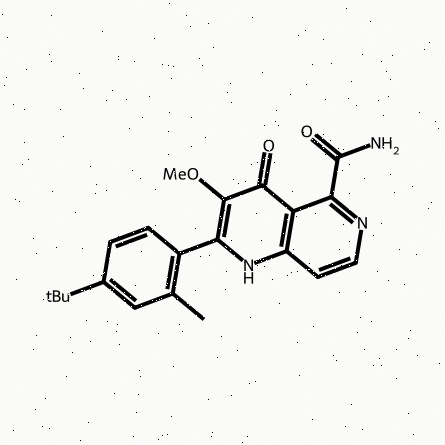 COc1c(-c2ccc(C(C)(C)C)cc2C)[nH]c2ccnc(C(N)=O)c2c1=O